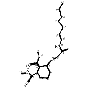 C=C(COC1CCCC(C(=O)OC)C1C(=O)OC)NCCCCCCC